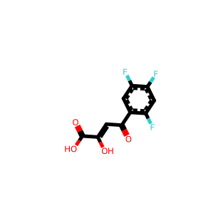 O=C(O)C(O)=CC(=O)c1cc(F)c(F)cc1F